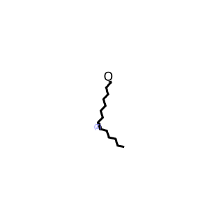 CCCCC/C=C\CCCCCCC=O